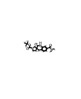 CN(C)C(=O)c1ccc2c(c1)NC(=O)C1(CCN(C(=O)OC(C)(C)C)C1)C2